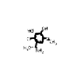 COc1cc([C@@H](C)N)c(Cl)cc1O.Cl